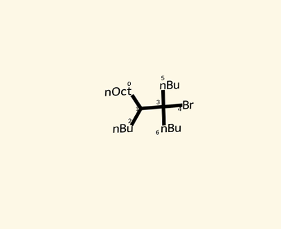 CCCCCCCCC(CCCC)C(Br)(CCCC)CCCC